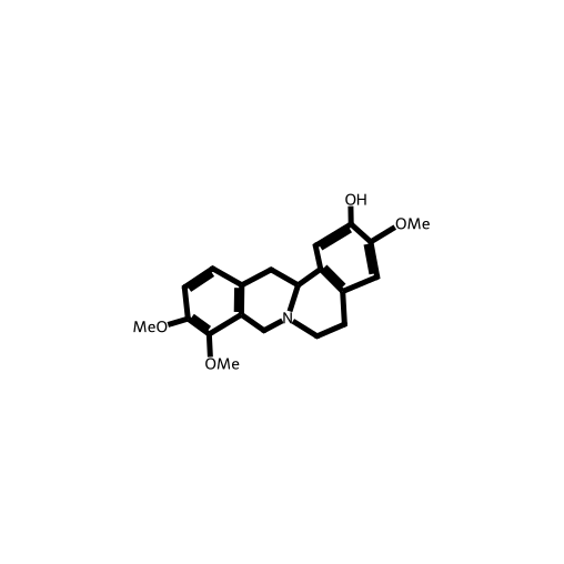 COc1cc2c(cc1O)C1Cc3ccc(OC)c(OC)c3CN1CC2